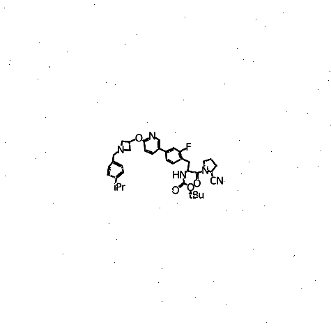 CC(C)c1ccc(CN2CC(Oc3ccc(-c4ccc(CC(NC(=O)OC(C)(C)C)C(=O)N5CCCC5C#N)c(F)c4)cn3)C2)cc1